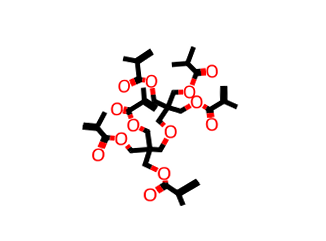 C=C(C)C(=O)OCC(COCC(COC(=O)C(=C)C)(COC(=O)C(=C)C)COC(=O)C(C)C)(COC(=O)C(=C)C)COC(=O)C(=C)C